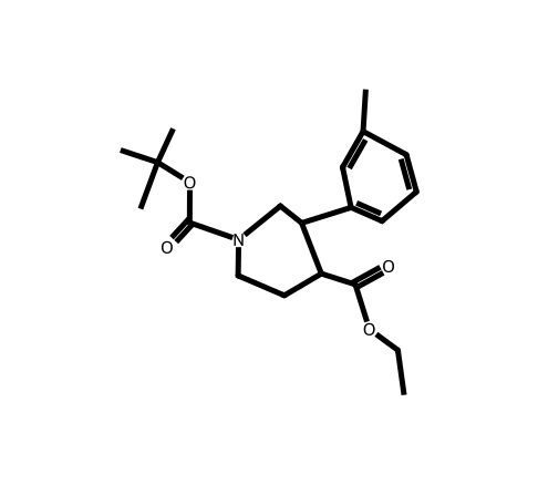 CCOC(=O)C1CCN(C(=O)OC(C)(C)C)CC1c1cccc(C)c1